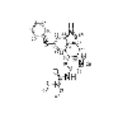 CCN(CC)C(=O)N[C@H]1CC2c3cc(Sc4ccccc4)cc4[nH]cc(c34)C[C@H]2N(C)C1